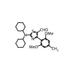 COc1cc(C)cc(OC)c1-c1nc(N(C2CCCCC2)C2CCCCC2)sc1C=O